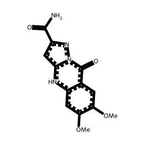 COc1cc2[nH]c3cc(C(N)=O)nn3c(=O)c2cc1OC